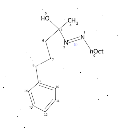 CCCCCCCC/N=N/C(C)(O)CCCc1ccccc1